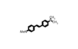 CNc1ccc(/C=C/c2ccc(N(C)C)cc2)cc1